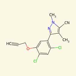 C#CCOc1cc(-c2nn(C)c(C#N)c2C)c(Cl)cc1Cl